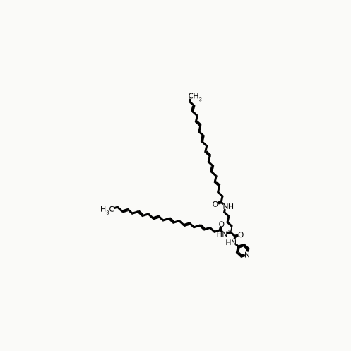 CCC=CCC=CCC=CCC=CCC=CCC=CCCC(=O)NCCCC[C@H](NC(=O)CCC=CCC=CCC=CCC=CCC=CCC=CCC)C(=O)Nc1ccncc1